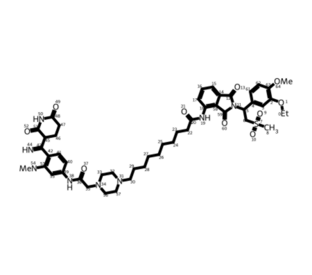 CCOc1cc(C(CS(C)(=O)=O)N2C(=O)c3cccc(NC(=O)CCCCCCCCCN4CCN(CC(=O)Nc5ccc(C(=N)C6CCC(=O)NC6=O)c(NC)c5)CC4)c3C2=O)ccc1OC